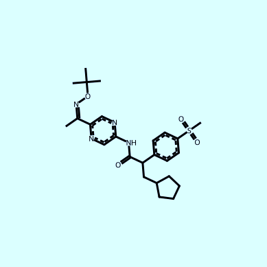 C/C(=N/OC(C)(C)C)c1cnc(NC(=O)C(CC2CCCC2)c2ccc(S(C)(=O)=O)cc2)cn1